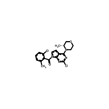 Cc1cccc(Cl)c1C(=O)n1ccc2c(N3CCOC[C@H]3C)nc(Cl)nc21